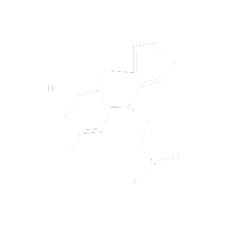 CCN(CC)CCN1c2ccccc2Sc2ccc(Cl)cc21.Cl